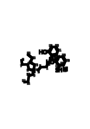 CCCC[N+](CCCC)(CCCC)CCCC.Oc1ccccc1S.Oc1ccccc1S.[Ni]